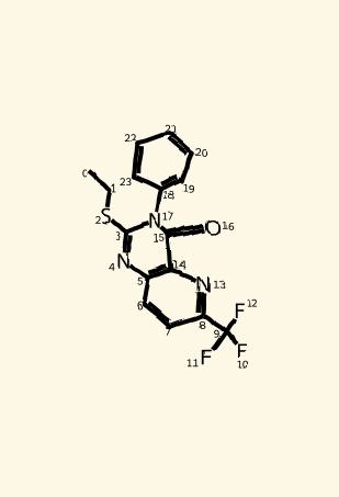 CCSc1nc2ccc(C(F)(F)F)nc2c(=O)n1-c1ccccc1